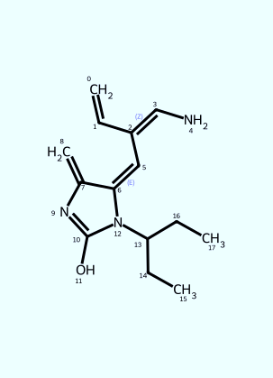 C=CC(=C/N)/C=c1\c(=C)nc(O)n1C(CC)CC